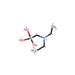 CCN(CC)C[Si](O)(O)O